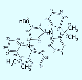 CCCCc1cc(N2c3ccccc3C(C)(C)c3ccccc32)cc(N2c3ccccc3C(C)(C)c3ccccc32)c1